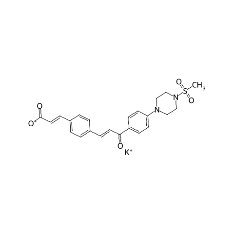 CS(=O)(=O)N1CCN(c2ccc(C(=O)/C=C/c3ccc(/C=C/C(=O)[O-])cc3)cc2)CC1.[K+]